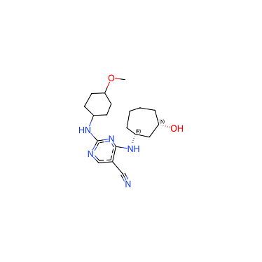 COC1CCC(Nc2ncc(C#N)c(N[C@@H]3CCCC[C@H](O)C3)n2)CC1